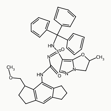 COCC1CCc2cc3c(c(NC(=O)N=S(=O)(NC(c4ccccc4)(c4ccccc4)c4ccccc4)c4cnn5c4OC(C)C5)c21)CCC3